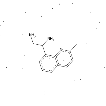 Cc1ccc2cccc(C(N)CN)c2n1